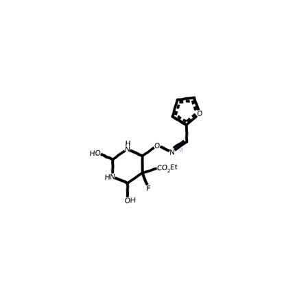 CCOC(=O)C1(F)C(O)NC(O)NC1O/N=C\c1ccco1